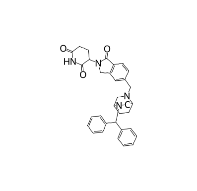 O=C1CCC(N2Cc3cc(CN4CC5CCC4CN5C(c4ccccc4)c4ccccc4)ccc3C2=O)C(=O)N1